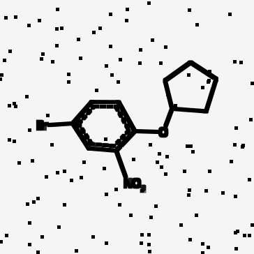 O=[N+]([O-])c1cc(Br)ccc1OC1CCCC1